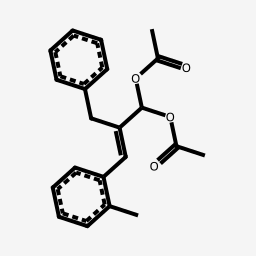 CC(=O)OC(OC(C)=O)/C(=C/c1ccccc1C)Cc1ccccc1